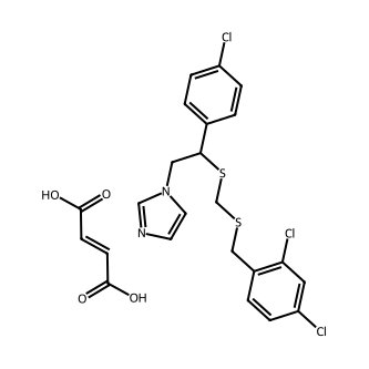 Clc1ccc(C(Cn2ccnc2)SCSCc2ccc(Cl)cc2Cl)cc1.O=C(O)C=CC(=O)O